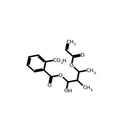 C=CC(=O)OC(C)C(C)C(O)OC(=O)c1ccccc1C(=O)O